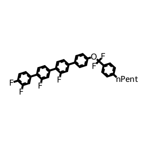 CCCCCc1ccc(C(F)(F)Oc2ccc(-c3ccc(-c4ccc(-c5ccc(F)c(F)c5)c(F)c4)c(F)c3)cc2)cc1